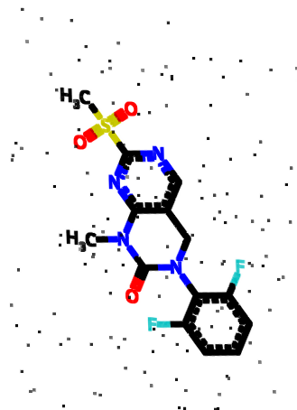 CN1C(=O)N(c2c(F)cccc2F)Cc2cnc(S(C)(=O)=O)nc21